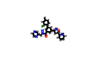 Cc1ccc(-c2cc(C(=O)NCc3cnccn3)cc(C3=NOC(c4ccccn4)C3)c2)c(F)c1